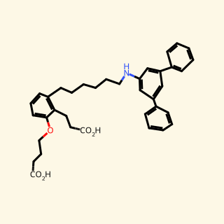 O=C(O)CCCOc1cccc(CCCCCCNc2cc(-c3ccccc3)cc(-c3ccccc3)c2)c1CCC(=O)O